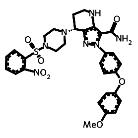 COc1ccc(Oc2ccc(-n3nc4c(c3C(N)=O)NCC[C@H]4N3CCN(S(=O)(=O)c4ccccc4[N+](=O)[O-])CC3)cc2)cc1